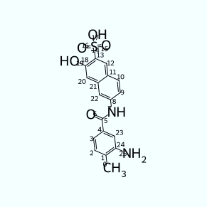 Cc1ccc(C(=O)Nc2ccc3cc(S(=O)(=O)O)c(O)cc3c2)cc1N